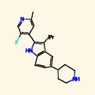 Cc1cc(-c2[nH]c3ccc(C4CCNCC4)cc3c2C(C)C)c(F)cn1